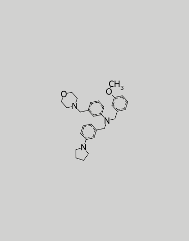 COc1cccc(CN(Cc2cccc(N3CCCC3)c2)c2cccc(CN3CCOCC3)c2)c1